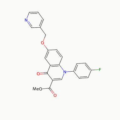 COC(=O)c1cn(-c2ccc(F)cc2)c2ccc(OCc3cccnc3)cc2c1=O